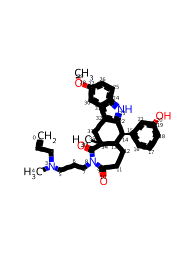 C=CCN(C)CCCN1C(=O)CCC2[C@H](c3cccc(O)c3)c3[nH]c4ccc(OC)cc4c3C[C@@]2(C)C1=O